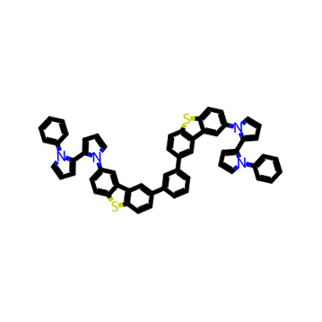 c1ccc(-n2cccc2-c2cccn2-c2ccc3sc4ccc(-c5cccc(-c6ccc7sc8ccc(-n9cccc9-c9cccn9-c9ccccc9)cc8c7c6)c5)cc4c3c2)cc1